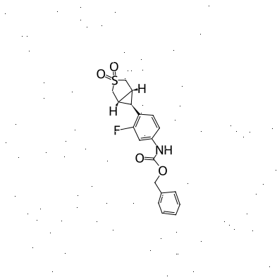 O=C(Nc1ccc([C@H]2[C@@H]3CS(=O)(=O)C[C@@H]32)c(F)c1)OCc1ccccc1